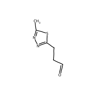 Cc1nnc(CCC=O)s1